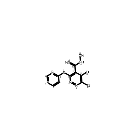 CCc1nnc(Sc2ccncn2)c(C(=N)NO)c1CC